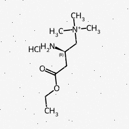 CCOC(=O)C[C@@H](N)C[N+](C)(C)C.Cl